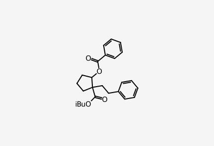 CC(C)COC(=O)C1(CCc2ccccc2)CCCC1OC(=O)c1ccccc1